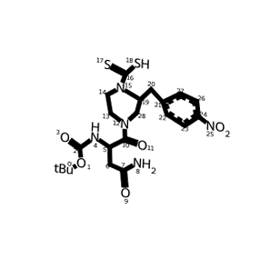 CC(C)(C)OC(=O)NC(CC(N)=O)C(=O)N1CCN(C(=S)S)C(Cc2ccc([N+](=O)[O-])cc2)C1